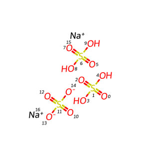 O=S(=O)(O)O.O=S(=O)(O)O.O=S(=O)([O-])[O-].[Na+].[Na+]